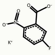 O=C([O-])c1cc(F)ccc1[N+](=O)[O-].[K+]